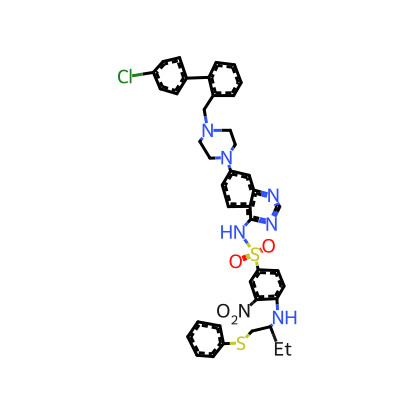 CCC(CSc1ccccc1)Nc1ccc(S(=O)(=O)Nc2ncnc3cc(N4CCN(Cc5ccccc5-c5ccc(Cl)cc5)CC4)ccc23)cc1[N+](=O)[O-]